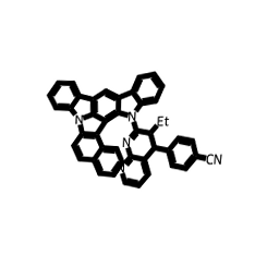 CCC1C(n2c3ccccc3c3cc4c5ccccc5n5c6ccc7ccccc7c6c(c32)c45)=Nc2ncccc2C1c1ccc(C#N)cc1